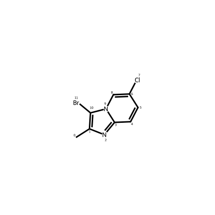 Cc1nc2ccc(Cl)cn2c1Br